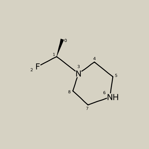 C[C@H](F)N1CCNCC1